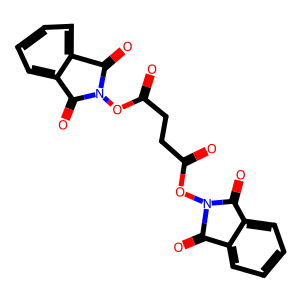 O=C(CCC(=O)ON1C(=O)c2ccccc2C1=O)ON1C(=O)c2ccccc2C1=O